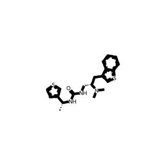 C[C@@H](NC(=O)NC[C@H](Cc1csc2ccccc12)N(C)C)c1ccsc1